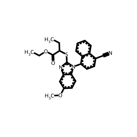 CCOC(=O)C(CC)Sc1nc2cc(OC)ccc2n1-c1ccc(C#N)c2ccccc12